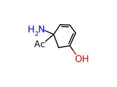 CC(=O)C1(N)C=CC=C(O)C1